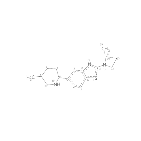 CC1CCC(c2ccc3sc(N4CC[C@H]4C)nc3c2)NC1